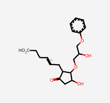 O=C(O)CC/C=C/CC1C(=O)CC(O)C1OCC(O)COc1ccccc1